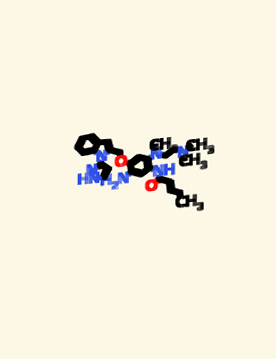 CC/C=C/C(=O)Nc1cc(N)c(OCc2cc3ccccc3n2-c2cc[nH]n2)cc1N(C)CCN(C)C